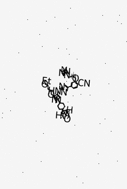 CCOCCCOc1nn(C2CCC(N3[C@@H]4CC[C@H]3COC4)CC2)cc1Nc1ncc(-c2ccc(C#N)c(O[C@@H](C)Cn3cnnn3)c2)cn1